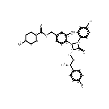 CN1CCN(C(=O)OCc2ccc([C@@H]3[C@@H](CC[C@H](O)c4ccc(F)cc4)C(=O)N3c3ccc(F)cc3)c(O)c2)CC1